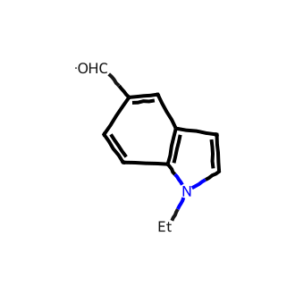 CCn1ccc2cc([C]=O)ccc21